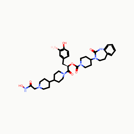 Bc1cc(C[C@@H](OC(=O)N2CCC(N3CCc4ccccc4NC3=O)CC2)C(=O)N2CCC(C3CCN(CC(=O)NO)CC3)CC2)ccc1O